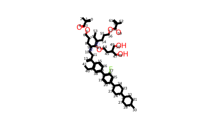 C=C(C)C(=O)OCCCC(=C/CC(=C)c1ccc(-c2ccc(C3CCC(C4CCC(C)CC4)CC3)cc2F)cc1CC)/C(OCCC(CO)CO)=C(\CC)CCCOC(=O)C(=C)C